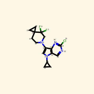 FC1(F)CN(c2cn(C3CC3)c3cnc(Cl)nc23)CCC12CC2